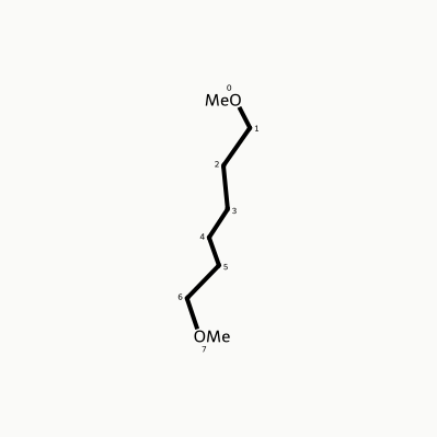 [CH2]OCCCCCCO[CH2]